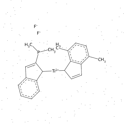 Cc1ccc(C)c2c1C=C[CH]2[Ti+2][CH]1C(P(C)C)=Cc2ccccc21.[F-].[F-]